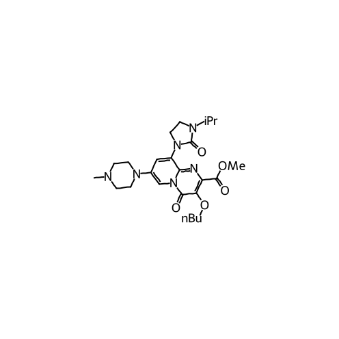 CCCCOc1c(C(=O)OC)nc2c(N3CCN(C(C)C)C3=O)cc(N3CCN(C)CC3)cn2c1=O